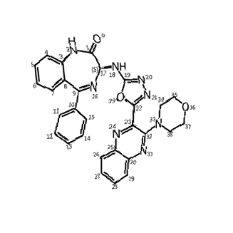 O=C1Nc2ccccc2C(c2ccccc2)=N[C@@H]1Nc1nnc(-c2nc3ccccc3nc2N2CCOCC2)o1